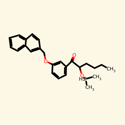 CCCCC(O[SiH](C)C)C(=O)c1cccc(OCc2ccc3ccccc3c2)c1